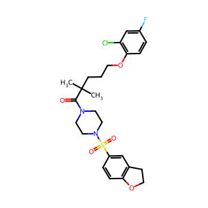 CC(C)(CCCOc1ccc(F)cc1Cl)C(=O)N1CCN(S(=O)(=O)c2ccc3c(c2)CCO3)CC1